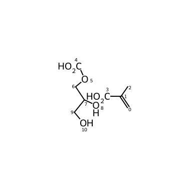 C=C(C)C(=O)O.O=C(O)OCC(O)CO